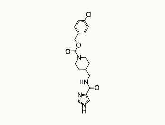 O=C(NCC1CCN(C(=O)OCc2ccc(Cl)cc2)CC1)c1c[nH]cn1